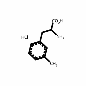 Cc1cccc(CC(N)C(=O)O)c1.Cl